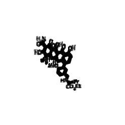 CCOC(=O)C(NCc1ccc(OC)c(-c2ccc(O)c3c2C[C@@H]2C[C@@H]4C(N(C)C)C(O)=C(C(N)=O)C(=O)[C@]4(O)C(O)=C2C3=O)c1)C(C)C